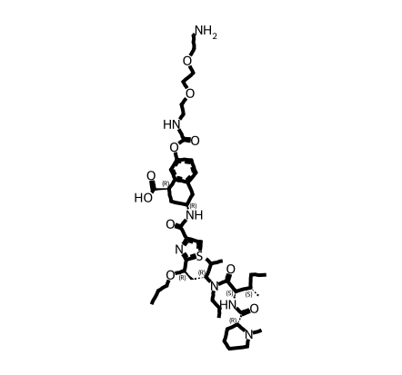 CCCO[C@H](C[C@H](C(C)C)N(CCC)C(=O)[C@@H](NC(=O)[C@H]1CCCCN1C)[C@@H](C)CC)c1nc(C(=O)N[C@H]2Cc3ccc(OC(=O)NCCOCCOCCN)cc3[C@H](C(=O)O)C2)cs1